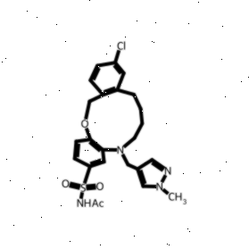 CC(=O)NS(=O)(=O)c1ccc2c(c1)N(Cc1cnn(C)c1)CCCCc1cc(Cl)ccc1CO2